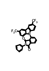 O=C1c2cccc(-n3c4ccc(C(F)(F)F)cc4c4cc(C(F)(F)F)ccc43)c2C(=O)N1c1ccccc1